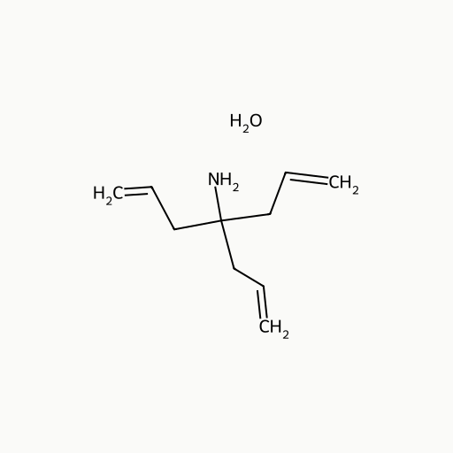 C=CCC(N)(CC=C)CC=C.O